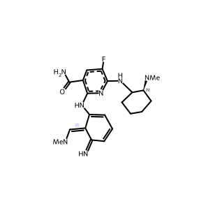 CN/C=C1\C(=N)C=CC=C1Nc1nc(NC2CCCC[C@@H]2NC)c(F)cc1C(N)=O